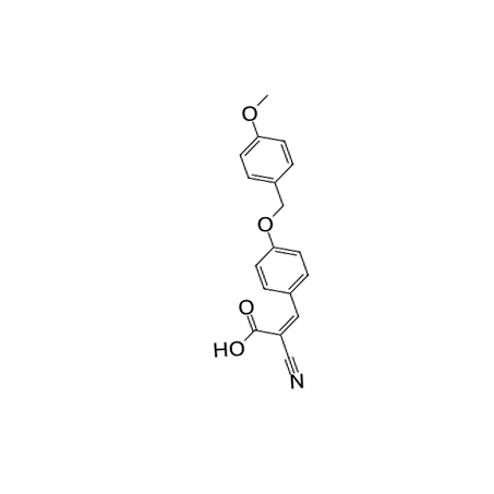 COc1ccc(COc2ccc(C=C(C#N)C(=O)O)cc2)cc1